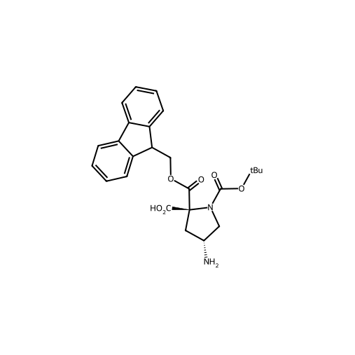 CC(C)(C)OC(=O)N1C[C@H](N)C[C@]1(C(=O)O)C(=O)OCC1c2ccccc2-c2ccccc21